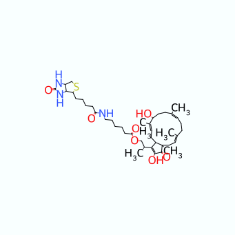 C/C1=C/CC/C(C)=C/CC2(C)C(=O)C(O)=C(C(C)COC(=O)CCCCCNC(=O)CCCCC3SCC4NC(=O)NC43)C2C/C=C(\C)C(O)CC1